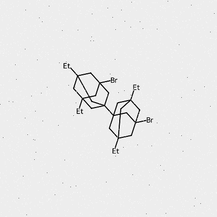 CCC12CC3(Br)CC(CC)(C1)CC(C14CC5(Br)CC(CC)(CC(CC)(C5)C1)C4)(C3)C2